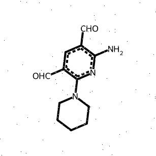 Nc1nc(N2CCCCC2)c(C=O)cc1C=O